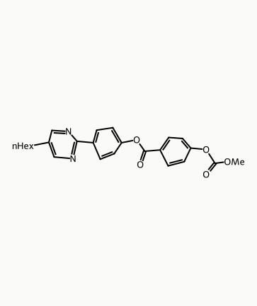 CCCCCCc1cnc(-c2ccc(OC(=O)c3ccc(OC(=O)OC)cc3)cc2)nc1